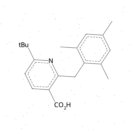 Cc1cc(C)c(Cc2nc(C(C)(C)C)ccc2C(=O)O)c(C)c1